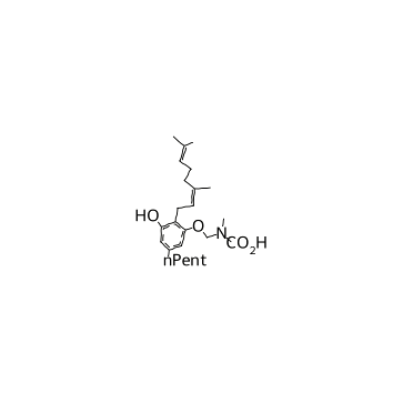 CCCCCc1cc(O)c(CC=C(C)CCC=C(C)C)c(OCN(C)C(=O)O)c1